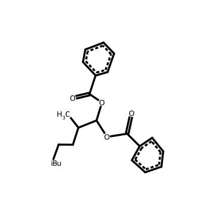 CCC(C)CCC(C)C(OC(=O)c1ccccc1)OC(=O)c1ccccc1